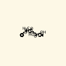 C[C@H]1C(=O)N(C[C@@H](O)CC(=O)N2CCC3(CC3)[C@H](O)C2)CCN1C(=O)OCc1ccccc1